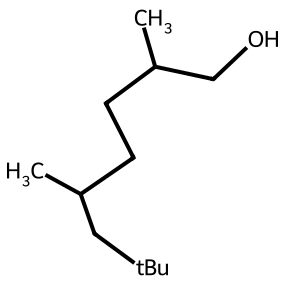 CC(CO)CCC(C)CC(C)(C)C